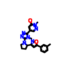 Cc1cccc(-c2cc(C3CCCN3c3nnc(-c4cnn(C)c(=O)c4)n3C)no2)c1